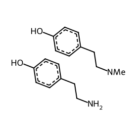 CNCCc1ccc(O)cc1.NCCc1ccc(O)cc1